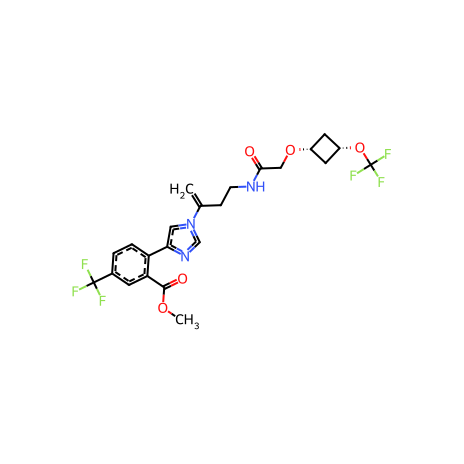 C=C(CCNC(=O)CO[C@H]1C[C@@H](OC(F)(F)F)C1)n1cnc(-c2ccc(C(F)(F)F)cc2C(=O)OC)c1